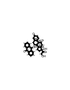 C[C@]12C=CC(=O)C=C1CC[C@@H]1[C@@H]2C(=O)C[C@@]2(C)[C@H]1CC[C@]2(O)C(=O)CO.O=C1c2ccccc2C(=O)c2ccccc21